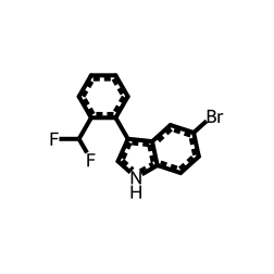 FC(F)c1ccccc1-c1c[nH]c2ccc(Br)cc12